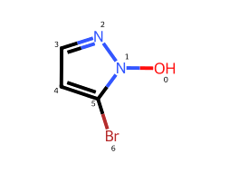 On1nccc1Br